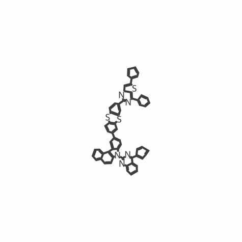 c1ccc(-c2cc3nc(-c4ccc5c(c4)Sc4cc(-c6ccc7c(c6)c6c8ccccc8ccc6n7-c6nc(-c7ccccc7)c7ccccc7n6)ccc4S5)nc(-c4ccccc4)c3s2)cc1